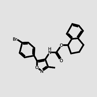 Cc1noc(-c2ccc(Br)cc2)c1NC(=O)OC1CCCc2ccccc21